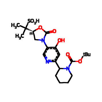 CC(C)(C)OC(=O)N1CCCCC1c1cc(O)c(N2C[C@H](C(C)(C)S(=O)(=O)O)OC2=O)cn1